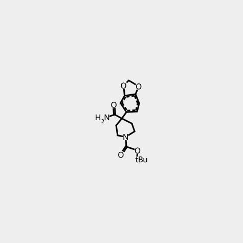 CC(C)(C)OC(=O)N1CCC(C(N)=O)(c2ccc3c(c2)OCO3)CC1